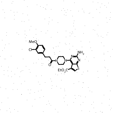 CCOC(=O)c1csc2nc(N)nc(N3CCN(C(=O)CCc4ccc(OC)c(Cl)c4)CC3)c12